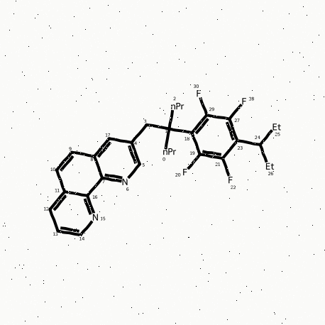 CCCC(CCC)(Cc1cnc2c(ccc3cccnc32)c1)c1c(F)c(F)c(C(CC)CC)c(F)c1F